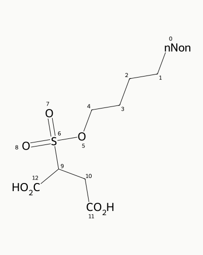 CCCCCCCCCCCCCOS(=O)(=O)C(CC(=O)O)C(=O)O